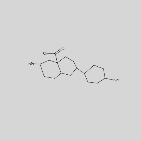 CCCC1CCC(C2CCC3(C(=O)Cl)CC(CCC)CCC3C2)CC1